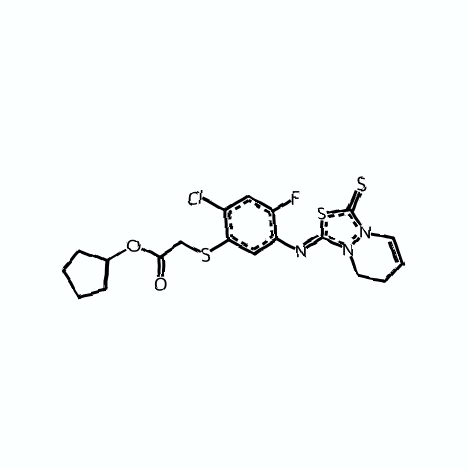 O=C(CSc1cc(N=c2sc(=S)n3n2CCC=C3)c(F)cc1Cl)OC1CCCC1